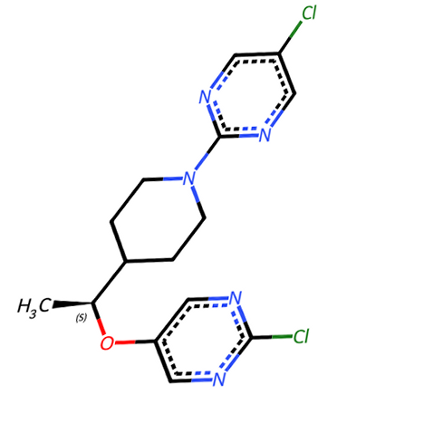 C[C@H](Oc1cnc(Cl)nc1)C1CCN(c2ncc(Cl)cn2)CC1